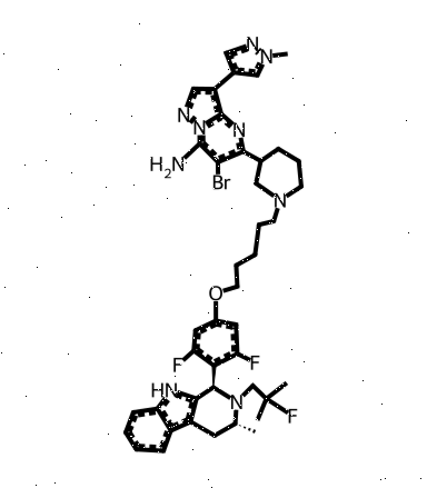 C[C@@H]1Cc2c([nH]c3ccccc23)[C@@H](c2c(F)cc(OCCCCCN3CCCC(c4nc5c(-c6cnn(C)c6)cnn5c(N)c4Br)C3)cc2F)N1CC(C)(C)F